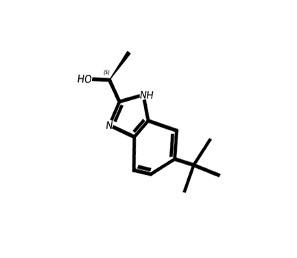 C[C@H](O)c1nc2ccc(C(C)(C)C)cc2[nH]1